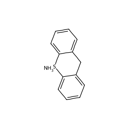 N.c1ccc2c(c1)Cc1ccccc1S2